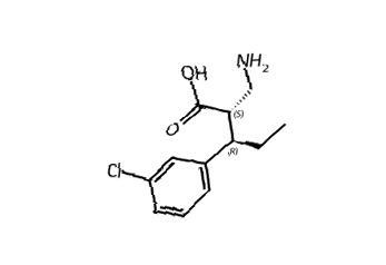 CC[C@@H](c1cccc(Cl)c1)[C@@H](CN)C(=O)O